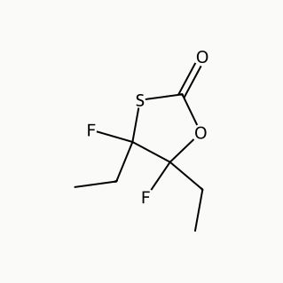 CCC1(F)OC(=O)SC1(F)CC